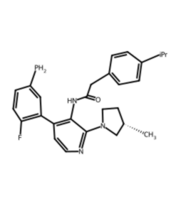 CC(C)c1ccc(CC(=O)Nc2c(-c3cc(P)ccc3F)ccnc2N2CC[C@H](C)C2)cc1